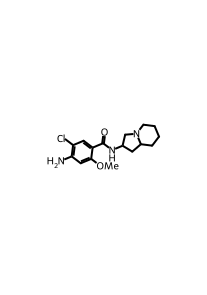 COc1cc(N)c(Cl)cc1C(=O)NC1CC2CCCCN2C1